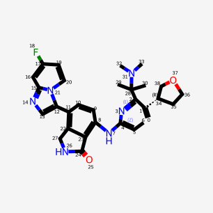 C=C(/C(=N\C(=C/C)Nc1ccc(-c2cnc3cc(F)ccn23)c2c1C(=O)NC2)C(C)(C)N(C)C)[C@H]1CCOC1